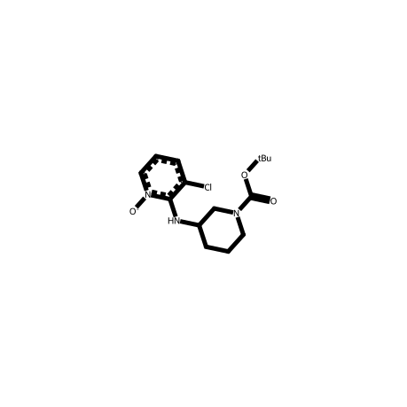 CC(C)(C)OC(=O)N1CCCC(Nc2c(Cl)ccc[n+]2[O-])C1